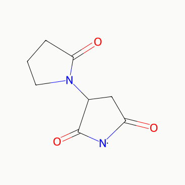 O=C1CC(N2CCCC2=O)C(=O)[N]1